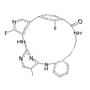 Cc1cnc2nc1Nc1ccccc1CCCNC(=O)c1ccc(cc1F)-c1cnc(F)c(c1)N2